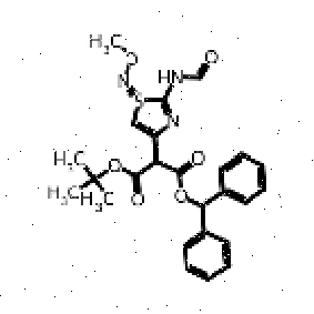 CON=S1C=C(C(C(=O)OC(c2ccccc2)c2ccccc2)C(=O)OC(C)(C)C)N=C1NC=O